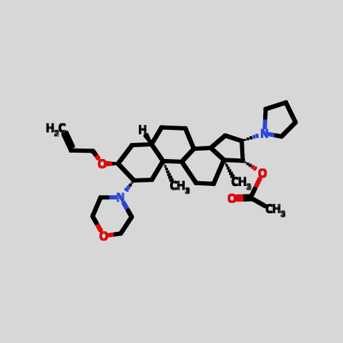 C=CCO[C@H]1C[C@@H]2CCC3C4C[C@H](N5CCCC5)[C@H](OC(C)=O)[C@@]4(C)CCC3[C@@]2(C)C[C@@H]1N1CCOCC1